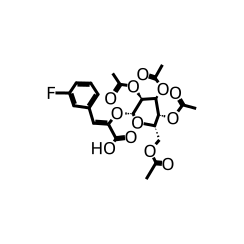 CC(=O)OC[C@@H]1O[C@H](O/C(=C\c2cccc(F)c2)C(=O)O)[C@@H](OC(C)=O)[C@H](OC(C)=O)[C@@H]1OC(C)=O